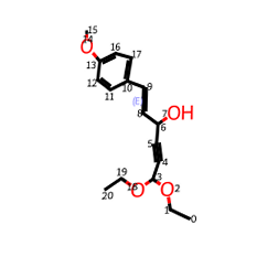 CCOC(C#CC(O)/C=C/c1ccc(OC)cc1)OCC